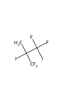 CC(I)(C(F)(F)F)C(F)(F)I